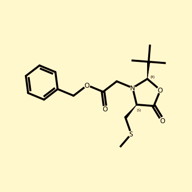 CSC[C@@H]1C(=O)O[C@H](C(C)(C)C)N1CC(=O)OCc1ccccc1